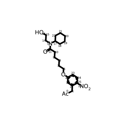 CC(=O)Cc1cc(OCCCCCC(=O)N(CCO)C2CCCCC2)ccc1[N+](=O)[O-]